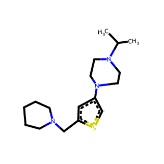 CC(C)N1CCN(c2[c]sc(CN3CCCCC3)c2)CC1